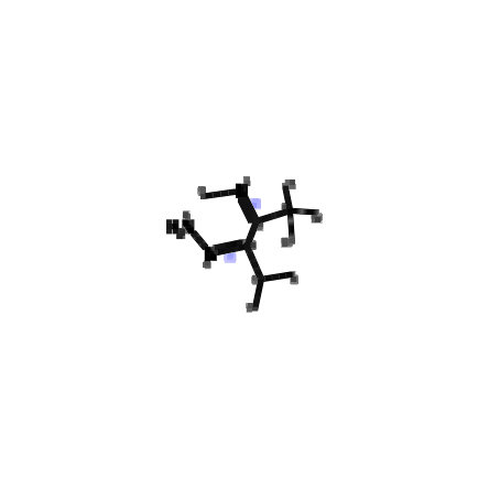 C/N=C(\C(=N/N)C(C)C)C(C)(C)C